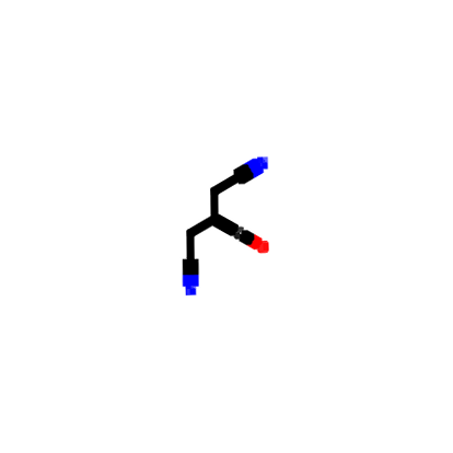 N#CCC(=C=O)CC#N